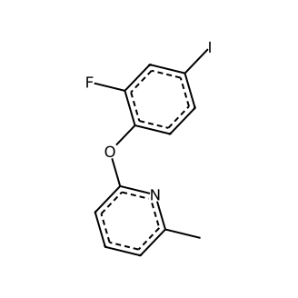 Cc1cccc(Oc2ccc(I)cc2F)n1